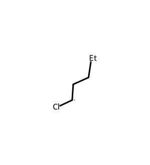 [CH2]CCC[CH]Cl